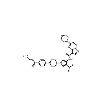 CCOC(=O)c1ccc(N2CCC(n3cc(NC(=O)c4cnn5ccc(N6CCOCC6)nc45)c(C(F)F)n3)CC2)cc1